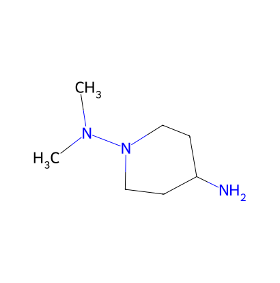 CN(C)N1CCC(N)CC1